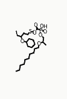 CCCCCCCCCCOC(C)COP(=O)(O)C(=O)OSCCC(CC)OC1CCCCC1